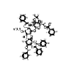 CCCCCCCCO[C@@H]1O[C@H](COC(=O)c2ccccc2)[C@@H](O[C@@H]2O[C@H](COC(=O)c3ccccc3)[C@@H]3OC(C)(C)O[C@@H]3[C@H]2O)[C@H](OC2O[C@@H](C)[C@@H](OCc3ccccc3)[C@@H](OCc3ccccc3)[C@@H]2OCc2ccccc2)[C@H]1O